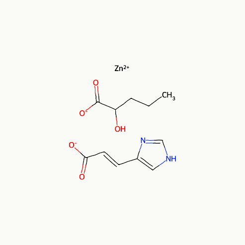 CCCC(O)C(=O)[O-].O=C([O-])C=Cc1c[nH]cn1.[Zn+2]